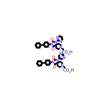 O=C(O)CN1CCC2(CC1)C(=O)N(c1ccc(-c3ccccc3)cc1)C(=O)N2c1cncnc1.O=C(O)CN1CCC2(CC1)C(=O)N(c1ccc(-c3ccccc3)cc1)C(=O)N2c1ncccn1